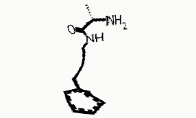 C[C@H](N)C(=O)NCCCc1ccccc1